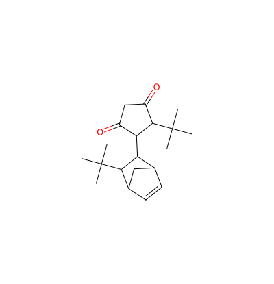 CC(C)(C)C1C(=O)CC(=O)C1C1C2C=CC(C2)C1C(C)(C)C